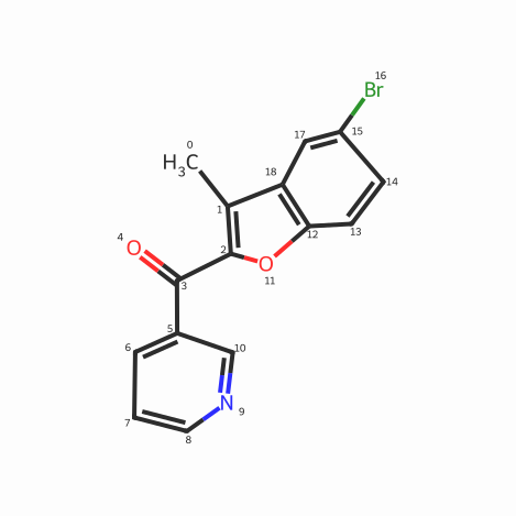 Cc1c(C(=O)c2cccnc2)oc2ccc(Br)cc12